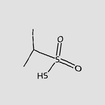 CC(I)S(=O)(=O)S